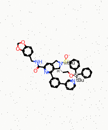 CC(C)(C)[S@@+]([O-])N1Cc2cc(C(=O)NCc3ccc4c(c3)OCO4)nc(-c3cccc(-c4cccnc4)c3)c2[C@H]1CCO[Si](c1ccccc1)(c1ccccc1)C(C)(C)C